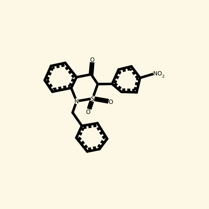 O=C1c2ccccc2N(Cc2ccccc2)S(=O)(=O)C1c1ccc([N+](=O)[O-])cc1